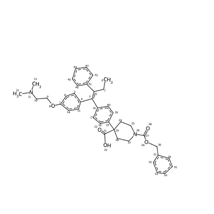 CCC(=C(c1ccc(OCCN(C)C)cc1)c1ccc(C2(C(=O)O)CCN(C(=O)OCc3ccccc3)CC2)cc1)c1ccccc1